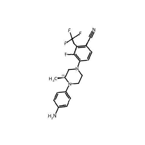 C[C@H]1CN(c2ccc(C#N)c(C(F)(F)F)c2F)CCN1c1ccc(N)cc1